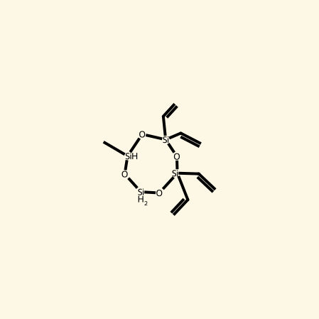 C=C[Si]1(C=C)O[SiH2]O[SiH](C)O[Si](C=C)(C=C)O1